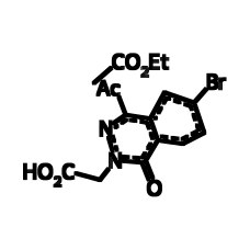 CC(=O)c1nn(CC(=O)O)c(=O)c2ccc(Br)cc12.CCOC(C)=O